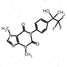 Cn1cnc2c1c(=O)n(-c1ccc(C(C)(O)C(F)(F)F)cc1)c(=O)n2C